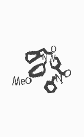 COc1ccc(Cn2c(C(=O)N3CCC(C(=O)N(C)Cc4ccccc4)CC3)cc3ccccc32)cc1